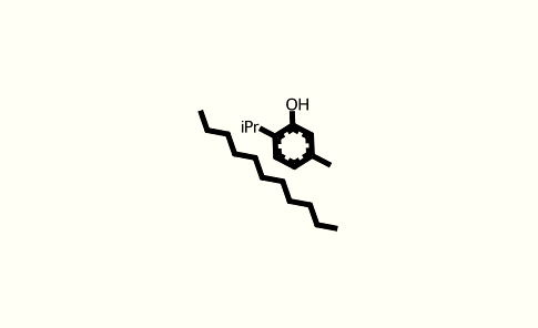 CCCCCCCCCCC.Cc1ccc(C(C)C)c(O)c1